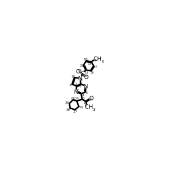 CC(=O)C(c1cnc2c(ccn2S(=O)(=O)c2ccc(C)cc2)n1)C1CCCCC1